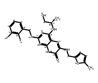 Cc1ccc(CNc2nc3c(N[C@H](C)CO)nc(SCc4cccc(F)c4F)nc3[nH]c2=O)o1